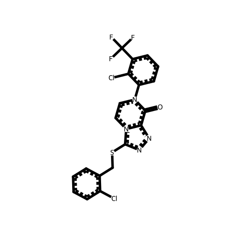 O=c1c2nnc(SCc3ccccc3Cl)n2ccn1-c1cccc(C(F)(F)F)c1Cl